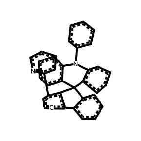 c1ccc(N2c3ccccc3C3(c4ccccc4-c4cccc(-c5ccccn5)c43)c3ccccc32)cc1